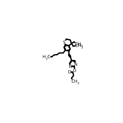 CCCCCCc1cc2c(cc1C#Cc1cnc(OC(=O)CCC)nc1)C(CC)(CC)CCS2